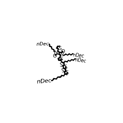 CCCCCCCCCCCCCCCCCc1[c]sc2c1sc1c3sc(-c4ccc(C5=C6C(=O)N(CCCCCCCCCCCCCCCC)C(c7cccs7)=C6C(=O)N5CCCCCCCCCCCCCCCC)s4)c(CCCCCCCCCCCCCCCCC)c3sc21